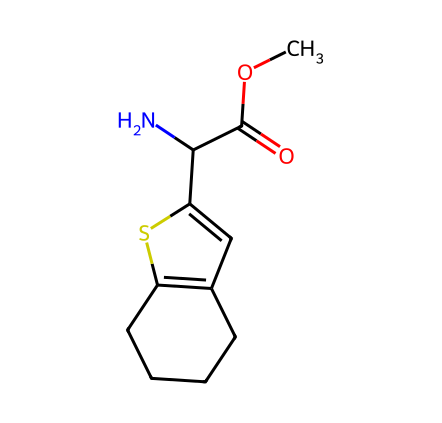 COC(=O)C(N)c1cc2c(s1)CCCC2